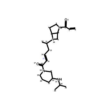 C=CC(=O)N1CCC2C1CN2C(C)C/C=C/C(=O)N1CCCC(NC(C)C)C1